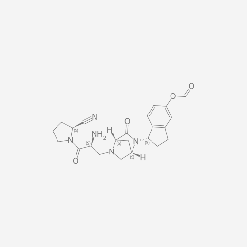 N#C[C@@H]1CCCN1C(=O)[C@@H](N)CN1C[C@@H]2C[C@H]1C(=O)N2[C@H]1CCc2cc(OC=O)ccc21